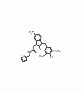 COc1cc(CC2c3ccc(C(F)(F)F)cc3C(CC(=O)NCc3ccco3)C2C)cc(OC)c1O